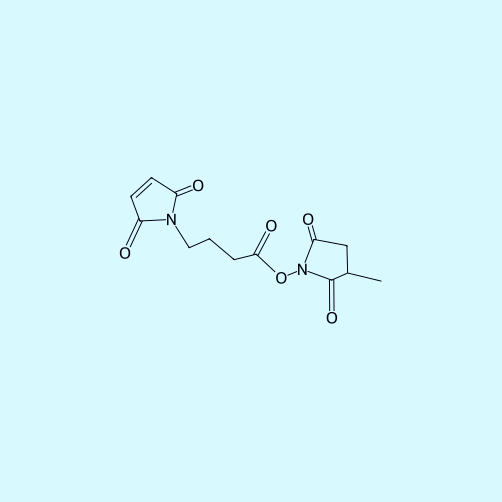 CC1CC(=O)N(OC(=O)CCCN2C(=O)C=CC2=O)C1=O